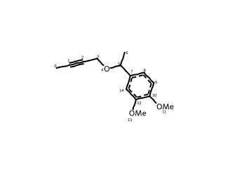 CC#CCOC(C)c1ccc(OC)c(OC)c1